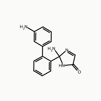 Nc1cccc(-c2ccccc2C2(N)N=CC(=O)N2)c1